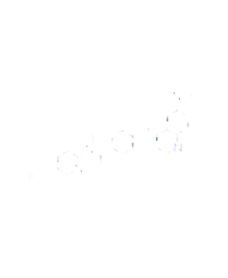 O=C(Nc1ccc(C(F)(F)F)cn1)c1ccc(Oc2ccnc3ccc([N+](=O)[O-])cc23)cc1